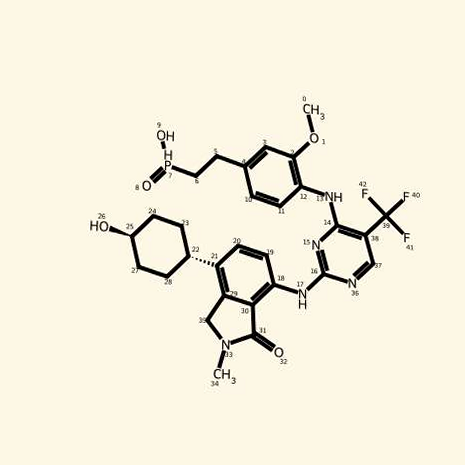 COc1cc(CC[PH](=O)O)ccc1Nc1nc(Nc2ccc([C@H]3CC[C@H](O)CC3)c3c2C(=O)N(C)C3)ncc1C(F)(F)F